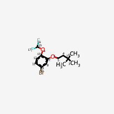 CC(C)(C)CCOc1cc(Br)ccc1OC(F)F